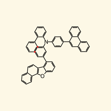 c1ccc(-c2ccccc2N(c2ccc(-c3cc4ccccc4c4ccccc34)cc2)c2cccc(-c3cccc4oc5c6ccccc6ccc5c34)c2)cc1